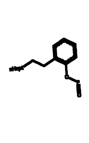 CCCCCCCCCc1ccccc1OP=O